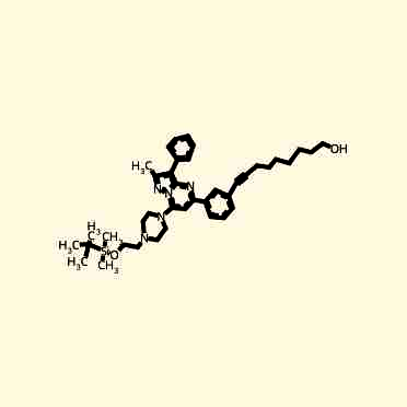 Cc1nn2c(N3CCN(CCO[Si](C)(C)C(C)(C)C)CC3)cc(-c3cccc(C#CCCCCCCCO)c3)nc2c1-c1ccccc1